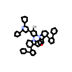 N#Cc1cc(-n2c3ccccc3c3c(-c4ccccc4-c4ccccc4)cccc32)c(-n2c3ccccc3c3c(-c4ccccc4-c4ccccc4)cccc32)cc1-c1cc(-c2ccccc2)nc(-c2ccccc2)c1